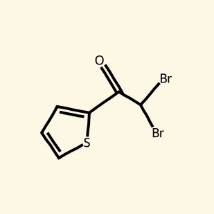 O=C(c1cccs1)C(Br)Br